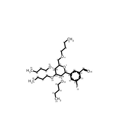 CCCCOCC1OC(c2cc(F)cc(C=O)c2)[C@H](OCCCC)C(OCCCC)[C@@H]1OCCCC